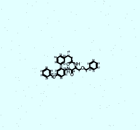 C[C@H](CC(=O)NC(COCc1ccccc1)C(=O)Nc1ccc(Oc2ccccc2)cc1)c1ccccc1